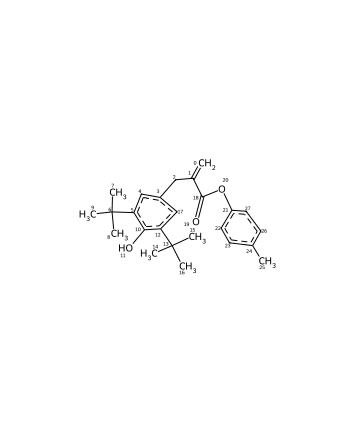 C=C(Cc1cc(C(C)(C)C)c(O)c(C(C)(C)C)c1)C(=O)Oc1ccc(C)cc1